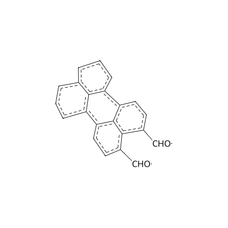 O=[C]c1ccc2c3cccc4cccc(c5ccc([C]=O)c1c25)c43